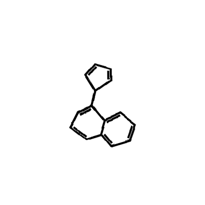 C1=CC(c2cccc3ccccc23)C=C1